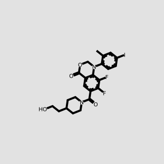 Cc1cc(I)ccc1N1COC(=O)c2cc(C(=O)N3CCC(CCO)CC3)c(F)c(F)c21